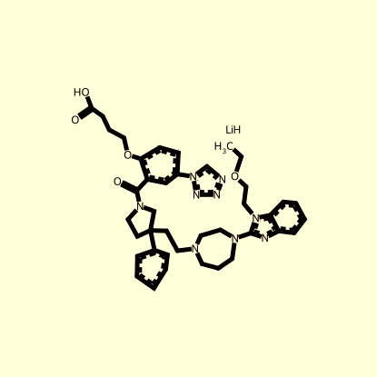 CCOCCn1c(N2CCCN(CCC3(c4ccccc4)CCN(C(=O)c4cc(-n5cnnn5)ccc4OCCCC(=O)O)C3)CC2)nc2ccccc21.[LiH]